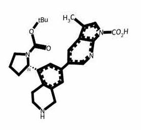 Cc1cn(C(=O)O)c2ncc(-c3cc4c(c([C@@H]5CCCN5C(=O)OC(C)(C)C)c3)CCNC4)cc12